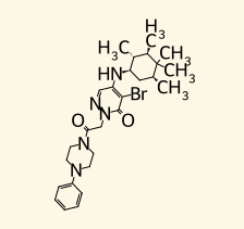 C[C@@H]1[C@@H](C)C(C)(C)[C@@H](C)C[C@H]1Nc1cnn(CC(=O)N2CCN(c3ccccc3)CC2)c(=O)c1Br